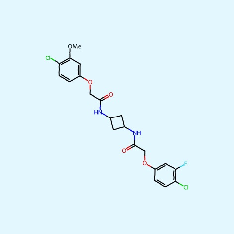 COc1cc(OCC(=O)NC2CC(NC(=O)COc3ccc(Cl)c(F)c3)C2)ccc1Cl